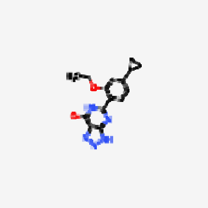 CCOc1cc(C2CC2)ccc1-c1nc2[nH]nnc2c(=O)[nH]1